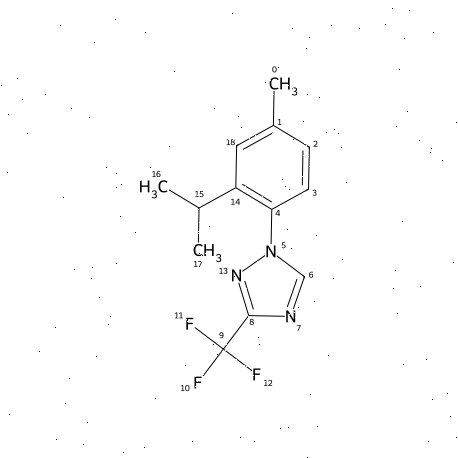 Cc1ccc(-n2cnc(C(F)(F)F)n2)c(C(C)C)c1